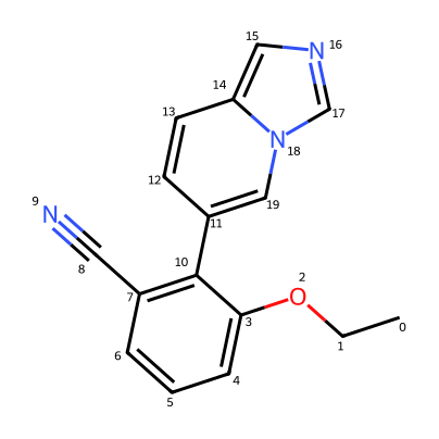 CCOc1cccc(C#N)c1-c1ccc2cncn2c1